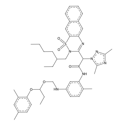 CCCCC(CC)CN1C(C(C(=O)Nc2cc(NCOC(CC)Oc3ccc(C)cc3C)ccc2C)n2nc(C)nc2C)=Nc2cc3ccccc3cc2S1(=O)=O